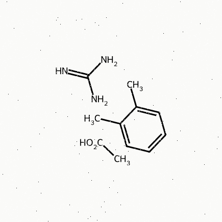 CC(=O)O.Cc1ccccc1C.N=C(N)N